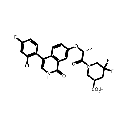 C[C@@H](Oc1ccc2c(-c3ccc(F)cc3Cl)c[nH]c(=O)c2c1)C(=O)N1CC(C(=O)O)CC(F)(F)C1